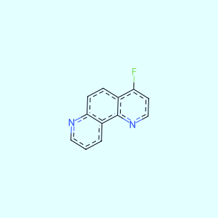 Fc1ccnc2c1ccc1ncccc12